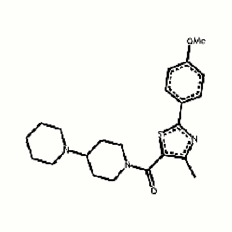 COc1ccc(-c2nc(C)c(C(=O)N3CCC(N4CCCCC4)CC3)s2)cc1